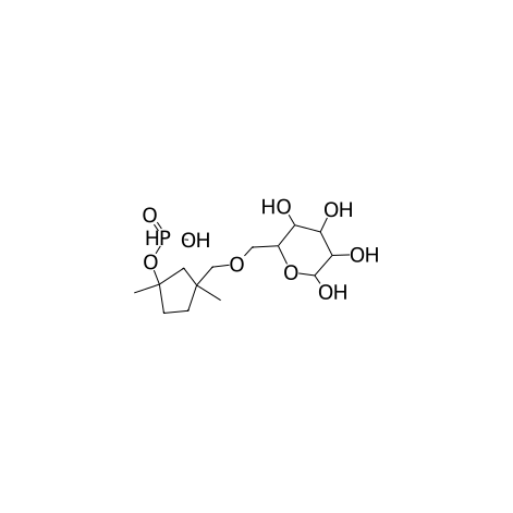 CC1(COCC2OC(O)C(O)C(O)C2O)CCC(C)(O[PH](=O)O)C1